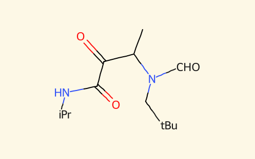 CC(C)NC(=O)C(=O)C(C)N(C=O)CC(C)(C)C